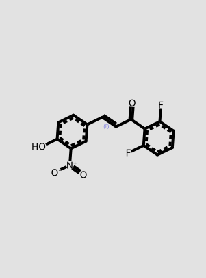 O=C(/C=C/c1ccc(O)c([N+](=O)[O-])c1)c1c(F)cccc1F